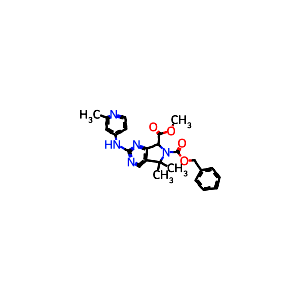 COC(=O)C1c2nc(Nc3ccnc(C)c3)ncc2C(C)(C)N1C(=O)OCc1ccccc1